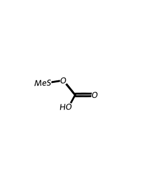 CSOC(=O)O